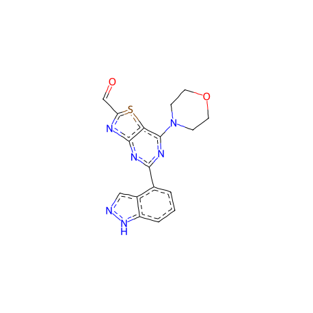 O=Cc1nc2nc(-c3cccc4[nH]ncc34)nc(N3CCOCC3)c2s1